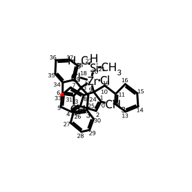 CC1=Cc2ccccc2[C]1(Cc1ccccc1)[Zr]([Cl])([Cl])([SiH](C)C)[C]1(Cc2ccccc2)C(C)=Cc2ccccc21